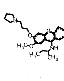 CC[C@H](C)Nc1c2ccccc2nc2cc(OCCCN3CCCC3)c(OC)cc12